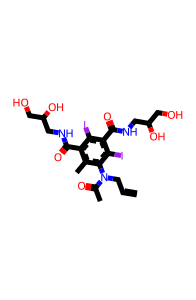 C=CCN(C(C)=O)c1c(C)c(C(=O)NCC(O)CO)c(I)c(C(=O)NCC(O)CO)c1I